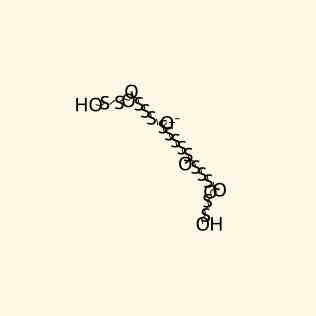 O=C(CSCSCSCC[S+]([O-])CSCSCSCSC(=O)CSCSCSCC(=O)OCSCCSCO)OCSCCSCO